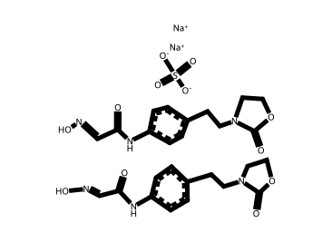 O=C(C=NO)Nc1ccc(CCN2CCOC2=O)cc1.O=C(C=NO)Nc1ccc(CCN2CCOC2=O)cc1.O=S(=O)([O-])[O-].[Na+].[Na+]